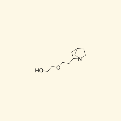 OCCOCCC1CC2CCN1C2